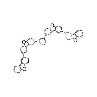 c1cc(-c2ccc3oc4ccc(-c5ccc6oc7ccccc7c6c5)cc4c3c2)cc(-c2ccc3oc4ccc(-c5ccc6oc7ccccc7c6c5)cc4c3c2)c1